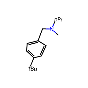 [CH2]CCN(C)Cc1ccc(C(C)(C)C)cc1